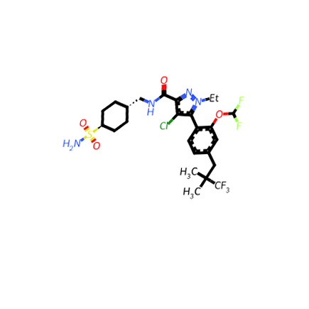 CCn1nc(C(=O)NC[C@H]2CC[C@H](S(N)(=O)=O)CC2)c(Cl)c1-c1ccc(CC(C)(C)C(F)(F)F)cc1OC(F)F